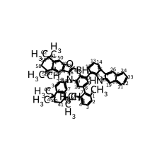 Cc1cccc(C)c1-c1cc(-c2cccc3c2[nH]c2cc4ccccc4cc23)c2c(c1)N(c1ccc3c(c1)C(C)(C)CCC3(C)C)c1c(oc3cc4c(cc13)C(C)(C)CCC4(C)C)B2